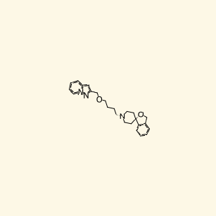 c1ccc2c(c1)COC21CCN(CCCCOCc2cc3ccccn3n2)CC1